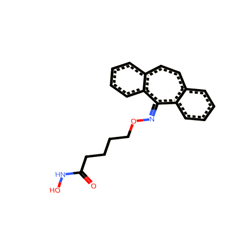 O=C(CCCCON=c1c2ccccc2ccc2ccccc12)NO